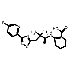 CC(N)(Cc1nc(-c2ccc(F)cn2)no1)C(=O)NC1=C(C(=O)O)CCCC1